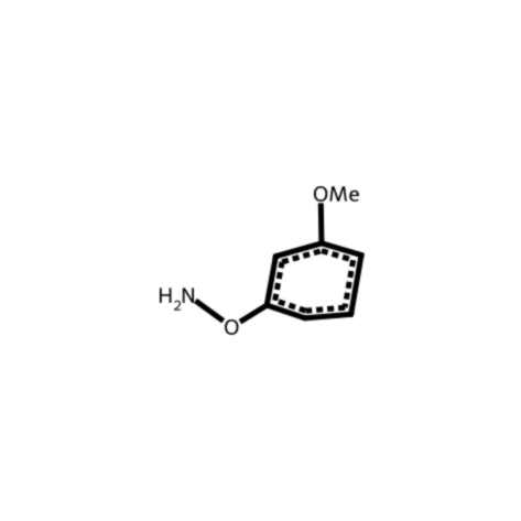 COc1cccc(ON)c1